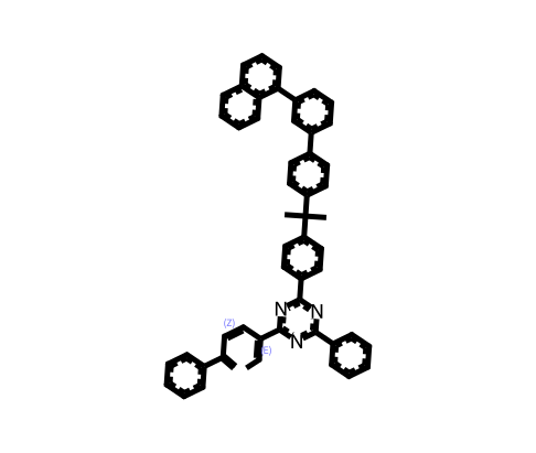 C=C(/C=C\C(=C/C)c1nc(-c2ccccc2)nc(-c2ccc(C(C)(C)c3ccc(-c4cccc(-c5cccc6ccccc56)c4)cc3)cc2)n1)c1ccccc1